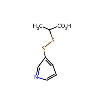 CC(SSc1cccnc1)C(=O)O